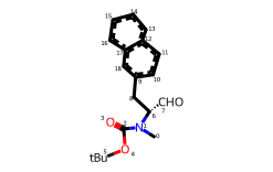 CN(C(=O)OC(C)(C)C)[C@@H](C=O)Cc1ccc2ccccc2c1